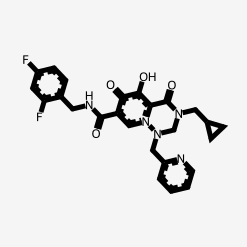 O=C(NCc1ccc(F)cc1F)c1cn2c(c(O)c1=O)C(=O)N(CC1CC1)CN2Cc1ccccn1